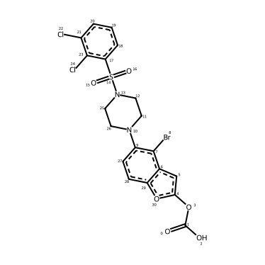 O=C(O)Oc1cc2c(Br)c(N3CCN(S(=O)(=O)c4cccc(Cl)c4Cl)CC3)ccc2o1